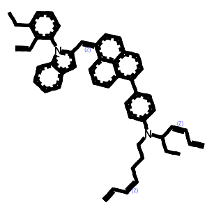 C=C/C=C\CCCN(c1ccc(-c2ccc3cc/c(=C/c4cc5ccccc5n4-c4cccc(CC)c4C=C)c4cccc2c34)cc1)C(/C=C\C=C)CC